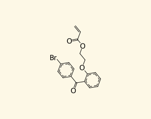 C=CC(=O)OCCOc1ccccc1C(=O)c1ccc(Br)cc1